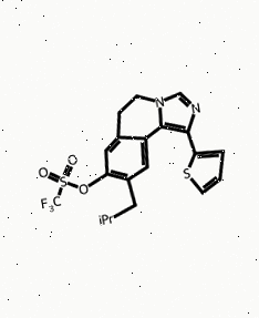 CC(C)Cc1cc2c(cc1OS(=O)(=O)C(F)(F)F)CCn1cnc(-c3cccs3)c1-2